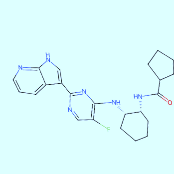 O=C(N[C@@H]1CCCC[C@@H]1Nc1nc(-c2c[nH]c3ncccc23)ncc1F)C1CCCC1